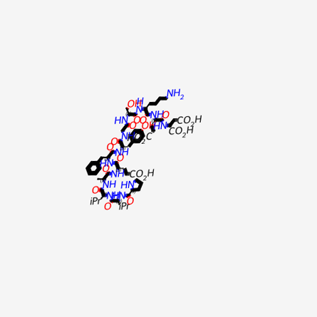 CC(C)[C@H](NC(=O)[C@@H]1CCCN1)C(=O)N[C@H](C(=O)N[C@@H](C)C(=O)N[C@@H](CCC(=O)O)C(=O)N[C@@H](Cc1ccccc1)C(=O)N[C@@H](Cc1ccc(O)cc1)C(=O)NCC(=O)N[C@@H](CO)C(=O)N[C@@H](CCCCN)C(=O)N[C@@H](CCC(=O)O)C(=O)N[C@@H](CC(=O)O)C(=O)O)C(C)C